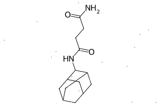 NC(=O)CCC(=O)NC1C2CC3CC(C2)CC1C3